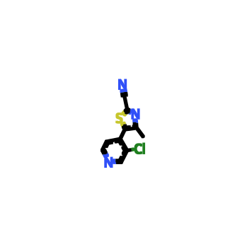 Cc1nc(C#N)sc1-c1ccncc1Cl